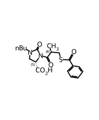 CCCCN1C[C@@H](C(=O)O)N(C(=O)[C@@H](C)CSC(=O)c2ccccc2)C1=O